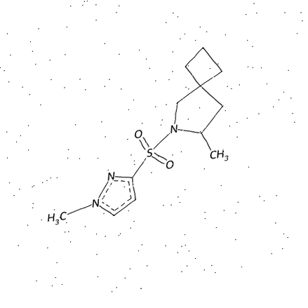 CC1CC2(CCC2)CN1S(=O)(=O)c1ccn(C)n1